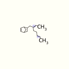 C/C=C/CC/C(=C\C)CC1CC2C=CC1C2